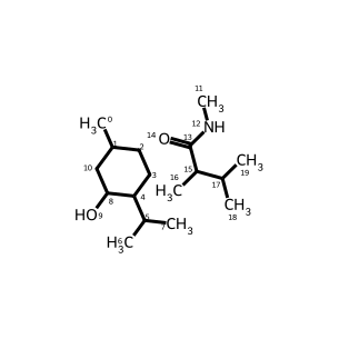 CC1CCC(C(C)C)C(O)C1.CNC(=O)C(C)C(C)C